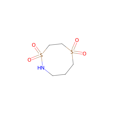 O=S1(=O)CCCNS(=O)(=O)CC1